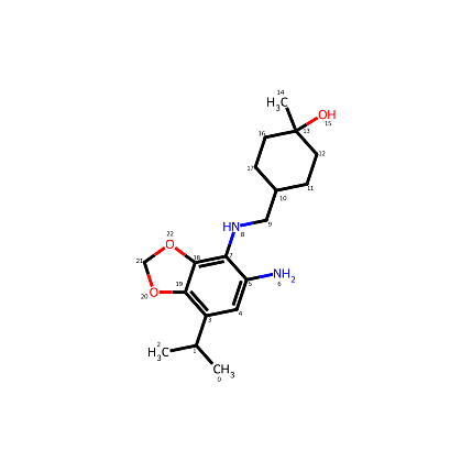 CC(C)c1cc(N)c(NCC2CCC(C)(O)CC2)c2c1OCO2